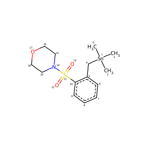 [CH3][Sn]([CH3])([CH3])[CH2]c1ccccc1S(=O)(=O)N1CCOCC1